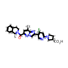 CCc1cc(C(=O)N2CCc3ccccc3[C@H]2C)nn2cc(-c3cnc(N4CC[C@H](C(=O)O)C4)cc3F)nc12